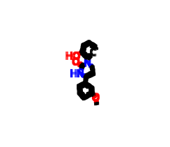 COc1cccc(C2=CCN(c3ccccc3O)C(=O)N2)c1